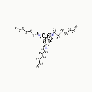 CCCCCC/C=C/OP(=O)(O/C=C/CCCCCC)O/C=C/CCCCCC